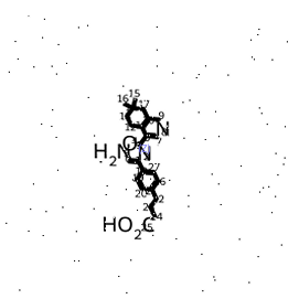 C=C(/N=C(\ON)c1cncc2c1CCC(C)(C)C2)c1ccc(CCCC(=O)O)cc1